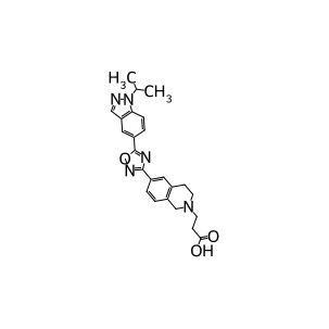 CC(C)n1ncc2cc(-c3nc(-c4ccc5c(c4)CCN(CCC(=O)O)C5)no3)ccc21